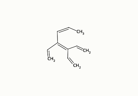 C=CC(C=C)=C(C=C)/C=C\C